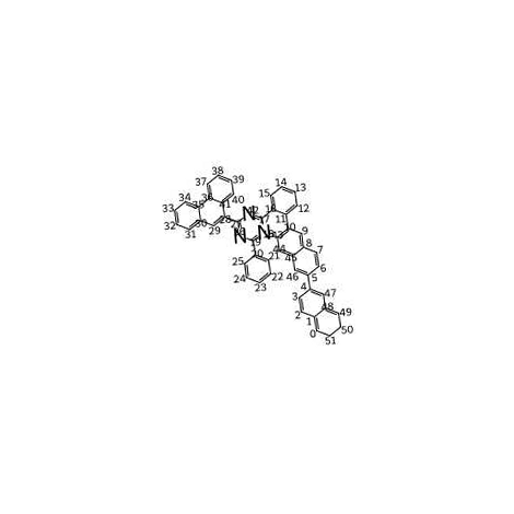 C1=c2ccc(-c3ccc4cc(-c5ccccc5-c5nc(-c6ccccc6)nc(-c6cc7ccccc7c7ccccc67)n5)ccc4c3)cc2=CCC1